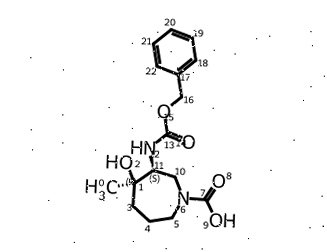 C[C@@]1(O)CCCN(C(=O)O)C[C@@H]1NC(=O)OCc1ccccc1